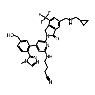 Cn1cnnc1-c1ccc(CO)cc1-c1cc(NCCCC#N)nc(N2Cc3c(cc(CNCC4CC4)cc3C(F)(F)F)C2=O)c1